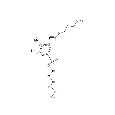 CCCCCCN=Cc1cc(C(=O)OCCCCCCl)cc(Br)c1N